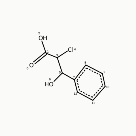 O=C(O)C(Cl)C(O)c1ccccc1